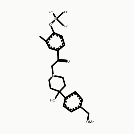 COCc1ccc(C2(O)CCN(CC(=O)c3ccc(O[Si](C(C)C)(C(C)C)C(C)C)c(C)c3)CC2)cc1